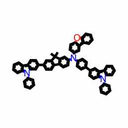 CC1(C)c2cc(-c3ccc4c5ccccc5n(-c5ccccc5)c4c3)ccc2-c2ccc(N(c3ccc(-c4ccc5c(c4)c4ccccc4n5-c4ccccc4)cc3)c3ccc4oc5ccccc5c4c3)cc21